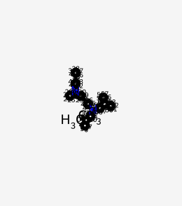 CC1(C)c2ccccc2-c2ccc(N(c3ccc(-c4ccc5c(c4)c4ccccc4n5-c4ccc(-c5ccccc5)cc4)cc3)c3ccc4c5ccccc5c5ccccc5c4c3)cc21